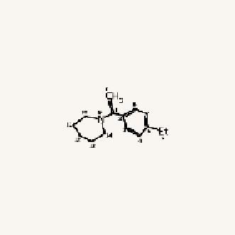 C=C(c1ccc(CC)cc1)N1CCCCC1